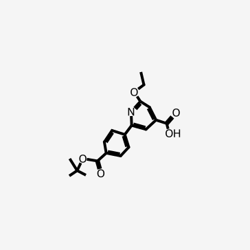 CCOc1cc(C(=O)O)cc(-c2ccc(C(=O)OC(C)(C)C)cc2)n1